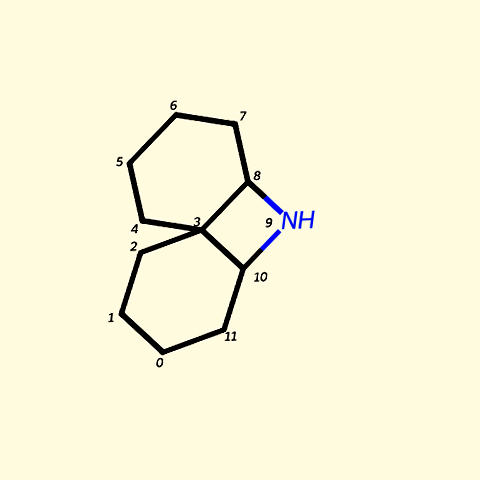 C1CCC23CCCCC2NC3C1